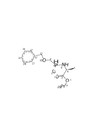 CCCOC(=O)[C@H](C)N[PH](=O)COCc1ccccc1